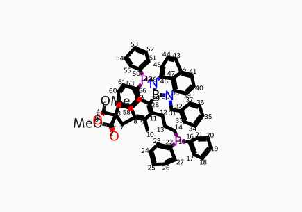 COC(=O)C1(C(=O)OC)Cc2c(C)c(CCCP(c3ccccc3)c3ccccc3)c(B3N(Cc4ccccc4)c4cccc5cccc(c45)N3P(c3ccccc3)c3ccccc3)c(C)c2C1